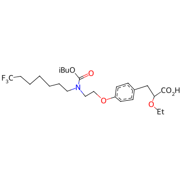 CCOC(Cc1ccc(OCCN(CCCCCCC(F)(F)F)C(=O)OCC(C)C)cc1)C(=O)O